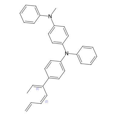 C=C/C=C\C(=C/C)c1ccc(N(c2ccccc2)c2ccc(N(C)c3ccccc3)cc2)cc1